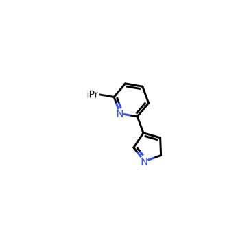 CC(C)c1cccc(C2=CCN=C2)n1